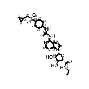 CCNC(=O)[C@H]1O[C@@H](n2cnc3c(NC(=O)Nc4ccc(S(=O)(=O)CC5CC5)cc4)ncnc32)[C@H](O)[C@@H]1O